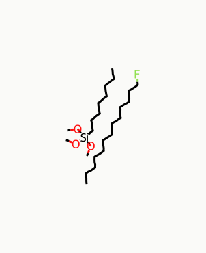 CCCCCCCCCCCCCF.CCCCCCCC[Si](OC)(OC)OC